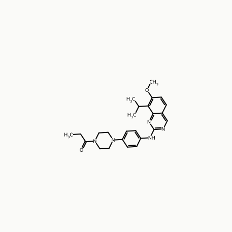 CCC(=O)N1CCN(c2ccc(Nc3ncc4ccc(OC)c(C(C)C)c4n3)cc2)CC1